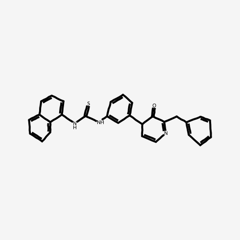 O=C1C(Cc2ccccc2)=NC=CC1c1cccc(NC(=S)Nc2cccc3ccccc23)c1